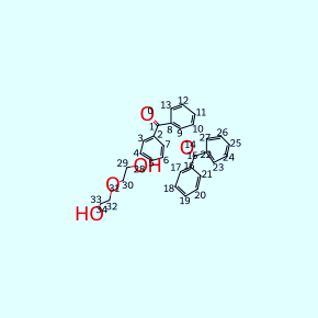 O=C(c1ccccc1)c1ccccc1.O=C(c1ccccc1)c1ccccc1.OCCOCCO